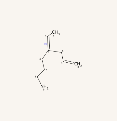 C=CC/C(=C\C)CCCN